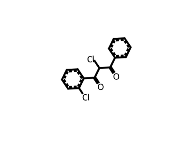 O=C(c1ccccc1)C(Cl)C(=O)c1ccccc1Cl